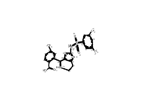 NC(=O)c1ccc(C(F)(F)F)cc1C1NCCc2nc(NS(=O)(=O)c3cc(C(F)(F)F)cc(C(F)(F)F)c3)sc21